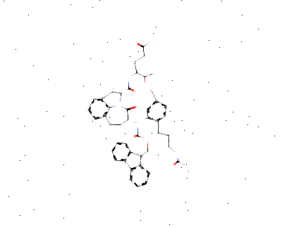 CC(OCc1ccc(CCCNC(=O)OC(C)(C)C)cc1)C(CCC(N)=O)NC(=O)[C@@H]1Cc2cccc3c2N1C(=O)[C@@H](NC(=O)OCC1c2ccccc2-c2ccccc21)CC3